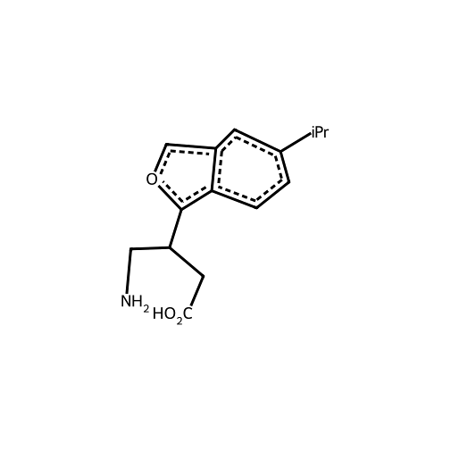 CC(C)c1ccc2c(C(CN)CC(=O)O)occ2c1